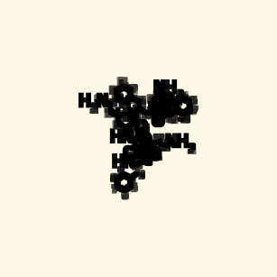 CN[C@@H](Cc1ccccc1)CN(CC(=O)N[C@@H](CCCCN)C(=O)N[C@@H](Cc1ccccc1)CN(CC(N)=O)S(=O)(=O)Cc1ccccc1)S(=O)(=O)CCN